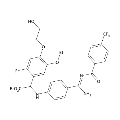 CCOC(=O)C(Nc1ccc(/C(N)=N/C(=O)c2ccc(C(F)(F)F)cc2)cc1)c1cc(OCC)c(OCCO)cc1F